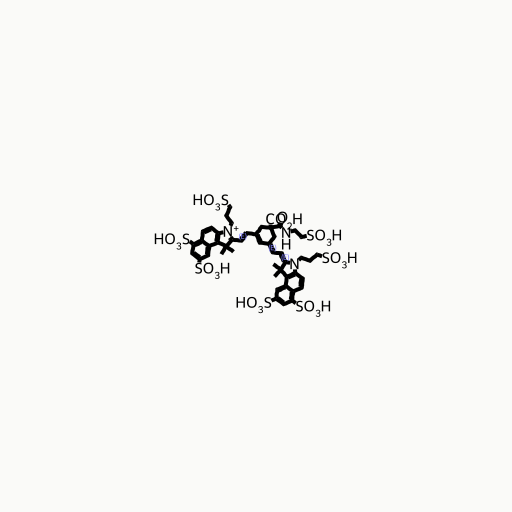 CC1(C)C(/C=C/C2=CC(=C/C=C3/N(CCCS(=O)(=O)O)c4ccc5c(S(=O)(=O)O)cc(S(=O)(=O)O)cc5c4C3(C)C)/CC(C(=O)O)(C(=O)NCCS(=O)(=O)O)C2)=[N+](CCCS(=O)(=O)O)c2ccc3c(S(=O)(=O)O)cc(S(=O)(=O)O)cc3c21